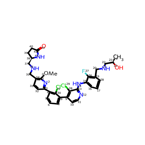 COc1nc(-c2cccc(-c3ccnc(Nc4cccc(CNC[C@@H](C)O)c4F)c3Cl)c2Cl)ccc1CNC[C@H]1CCC(=O)N1